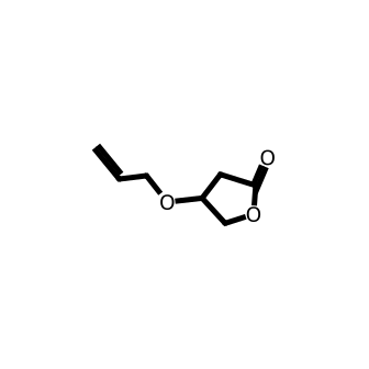 C=CCOC1COC(=O)C1